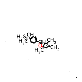 C=CCC(C)(CC=C)O[SiH2]c1cc[c]([Sn]([CH3])([CH3])[CH3])cc1